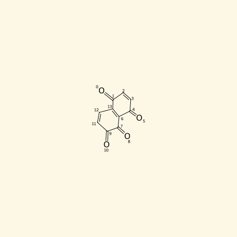 O=c1ccc(=O)c2c(=O)c(=O)ccc1=2